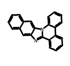 c1ccc2cc3c(cc2c1)nc1c2ccccc2c2ccccc2n31